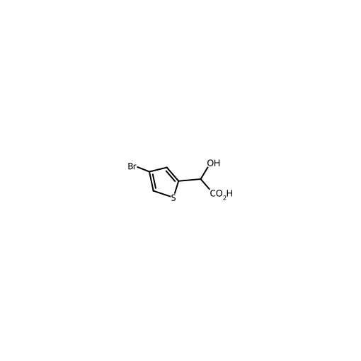 O=C(O)C(O)c1cc(Br)cs1